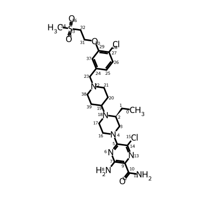 CC[C@H]1CN(c2nc(N)c(C(N)=O)nc2Cl)CCN1C1CCN(Cc2ccc(Cl)c(OCCS(C)(=O)=O)c2)CC1